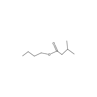 CCCCOC(=O)C[C](C)C